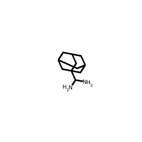 NC(N)C12CC3CC(CC(C3)C1)C2